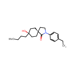 COCCC[C@]1(O)CC[C@]2(CCN(c3ccc(CC(F)(F)F)cc3)C2=O)CC1